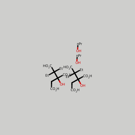 CCC(CC)(C(=O)O)C(O)(CC(=O)O)C(=O)O.CCC(CC)(C(=O)O)C(O)(CC(=O)O)C(=O)O.CCCO.CCCO